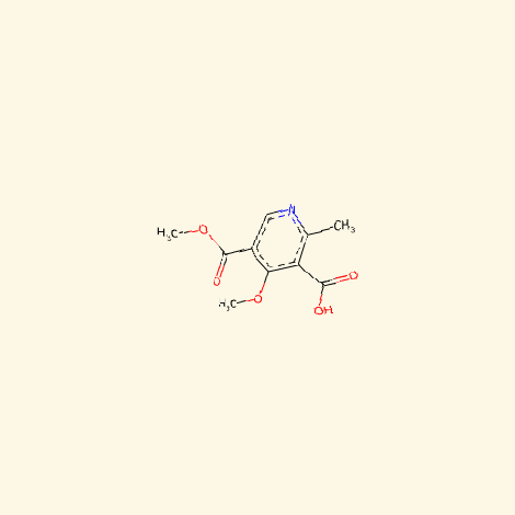 COC(=O)c1cnc(C)c(C(=O)O)c1OC